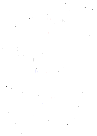 CCC(CC)(c1ccc(OCC(=O)C(C)(C)C)c(C)c1)c1nc2ccc(C(=O)NCC(=O)O)cc2o1